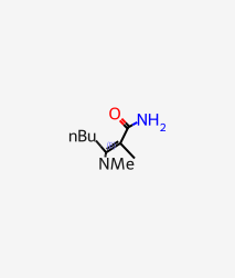 CCCC/C(NC)=C(/C)C(N)=O